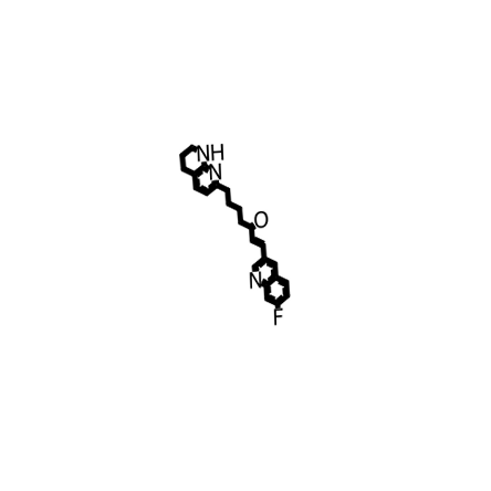 O=C(/C=C/c1cnc2cc(F)ccc2c1)CCCCc1ccc2c(n1)NCCC2